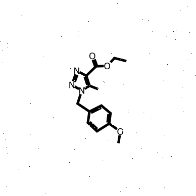 CCOC(=O)c1nnn(Cc2ccc(OC)cc2)c1C